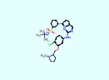 CN1CCCC1COc1cc(Nc2ncc3ccc(-c4cccc(S(=O)(=O)NC(C)(C)C)c4)n3n2)ccc1Cl